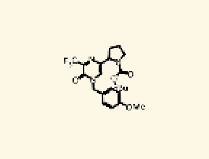 COc1ccc(Cn2cc(C3CCCN3C(=O)OC(C)(C)C)nc(C(F)(F)F)c2=O)cc1